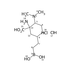 CN(C)C1CCC(CCB(O)O)CC1(N)C(=O)O.Cl.Cl